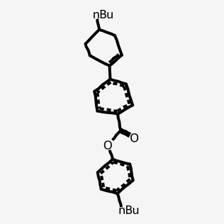 CCCCc1ccc(OC(=O)c2ccc(C3=CCC(CCCC)CC3)cc2)cc1